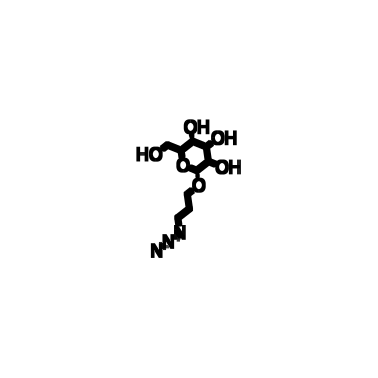 [N-]=[N+]=NCCCO[C@@H]1OC(CO)[C@@H](O)C(O)C1O